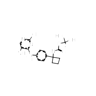 CC(C)(C)OC(=O)NC1(c2ccc(Nc3nc(Cl)ncc3N)cc2)CCC1